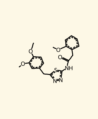 COc1ccccc1CC(=O)Nc1nnc(Cc2ccc(OC)c(OC)c2)s1